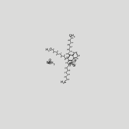 C=O.CCCCCCCCCc1c(CCCCCCCCC)c(S(=O)(=O)[O-])c2ccccc2c1CCCCCCCCC.[Na+]